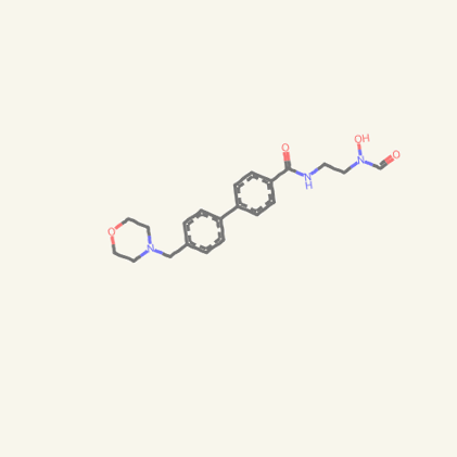 O=CN(O)CCNC(=O)c1ccc(-c2ccc(CN3CCOCC3)cc2)cc1